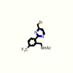 CC(=O)NCc1cc(C(F)(F)F)ccc1-c1nccc(CBr)n1